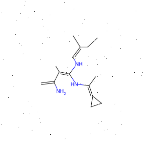 C=C(N)/C(C)=C(/N/C=C(/C)CC)NC(C)=C1CC1